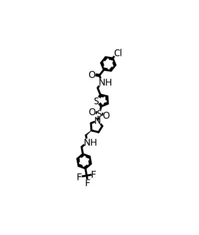 O=C(NCc1ccc(S(=O)(=O)N2CC[C@@H](CNCc3ccc(C(F)(F)F)cc3)C2)s1)c1ccc(Cl)cc1